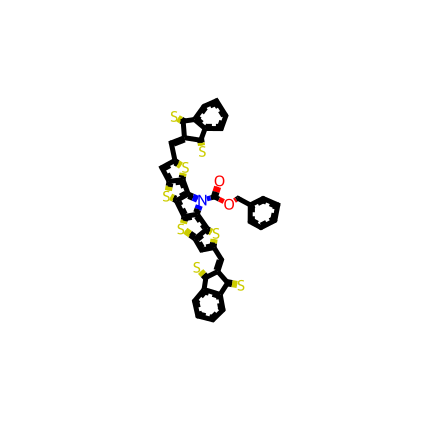 O=C(OCc1ccccc1)n1c2c3sc(C=C4C(=S)c5ccccc5C4=S)cc3sc2c2sc3cc(C=C4C(=S)c5ccccc5C4=S)sc3c21